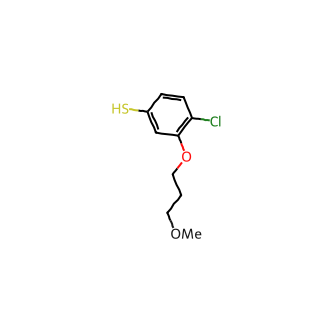 COCCCOc1cc(S)ccc1Cl